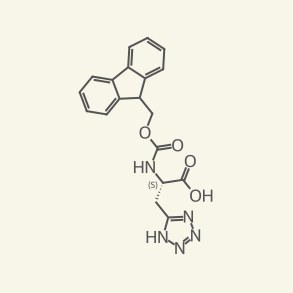 O=C(N[C@@H](Cc1nnn[nH]1)C(=O)O)OCC1c2ccccc2-c2ccccc21